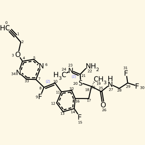 C#CCOc1cnc(/C(F)=C/c2ccc(F)c(C[C@@](C)(S/C(N)=N\C)C(=O)NCC(F)F)c2)cn1